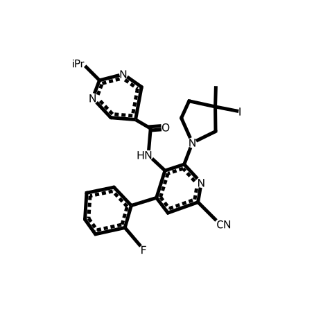 CC(C)c1ncc(C(=O)Nc2c(-c3ccccc3F)cc(C#N)nc2N2CCC(C)(I)C2)cn1